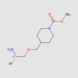 CC(C)[C@H](N)COCC1CCN(C(=O)OC(C)(C)C)CC1